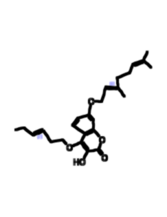 CC/C=C/CCOc1c(O)c(=O)oc2cc(OC/C=C(\C)CCC=C(C)C)ccc12